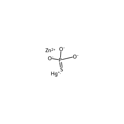 [Hg+].[O-]P([O-])([O-])=S.[Zn+2]